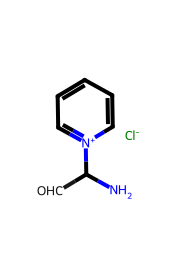 NC(C=O)[n+]1ccccc1.[Cl-]